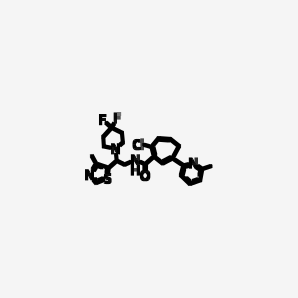 Cc1cccc(C2=CC(C(=O)NCC(c3scnc3C)N3CCC(F)(F)CC3)=C(Cl)C=CC2)n1